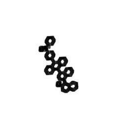 [O-][S+](c1ccccc1)c1ccc(-c2c3ccccc3c(-c3cc4oc5ccc6ccccc6c5c4c4ccccc34)c3ccccc23)cc1